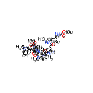 CC[C@](CCC(=O)N[C@@](CCCCNC(=O)OC(C)(C)C)(C(=O)O)C(C)(C)C)(NC(=O)/C(C)=C/[C@H](C(C)C)N(C)C(=O)[C@@H](NC(=O)[C@@H](N(C)C(=O)OC(C)(C)C)C(C)(C)c1cn(C)c2ccccc12)C(C)(C)C)C(=O)O